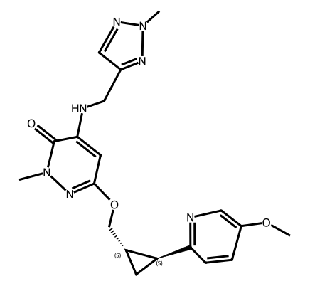 COc1ccc([C@H]2C[C@@H]2COc2cc(NCc3cnn(C)n3)c(=O)n(C)n2)nc1